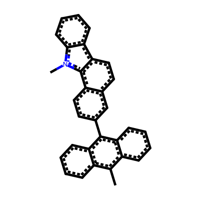 Cc1c2ccccc2c(-c2ccc3c(ccc4c5ccccc5n(C)c34)c2)c2ccccc12